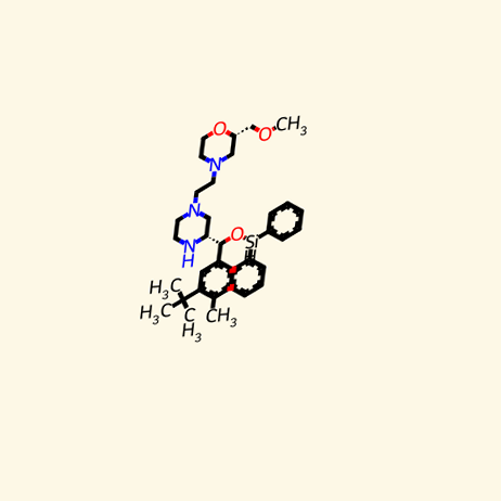 COC[C@@H]1CN(CCN2CCN[C@@H](C(O[SiH](c3ccccc3)c3ccccc3)c3ccc(C)c(C(C)(C)C)c3)C2)CCO1